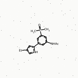 CCc1c[nH]c(-c2cc(NC(C)=O)cc(P(C)(C)=O)c2)c1